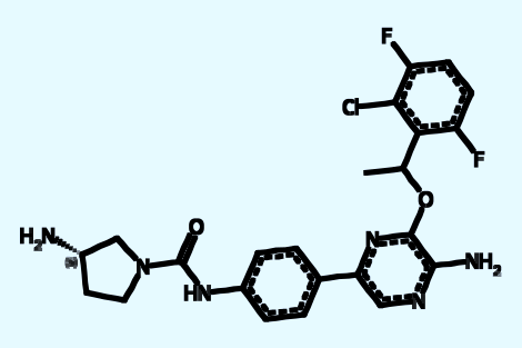 CC(Oc1nc(-c2ccc(NC(=O)N3CC[C@H](N)C3)cc2)cnc1N)c1c(F)ccc(F)c1Cl